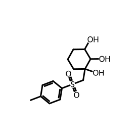 Cc1ccc(S(=O)(=O)CC2(O)CCCC(O)C2O)cc1